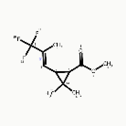 COC(=O)C1C(/C=C(\C)C(F)(F)F)C1(C)C